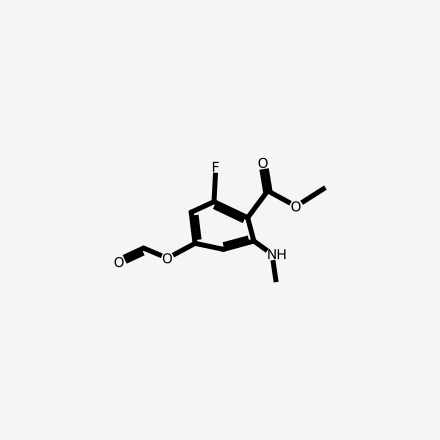 CNc1cc(OC=O)cc(F)c1C(=O)OC